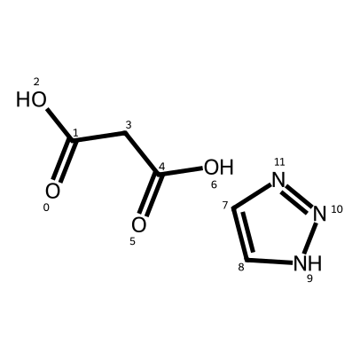 O=C(O)CC(=O)O.c1c[nH]nn1